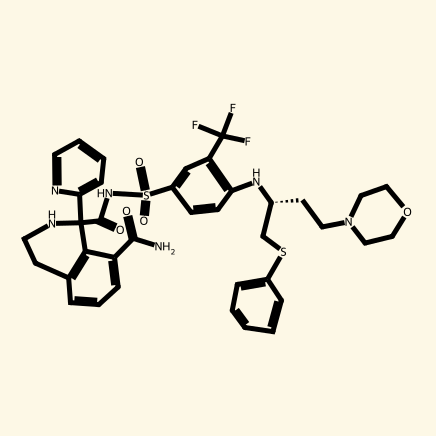 NC(=O)c1cccc2c1C(C(=O)NS(=O)(=O)c1ccc(N[C@H](CCN3CCOCC3)CSc3ccccc3)c(C(F)(F)F)c1)(c1ccccn1)NCC2